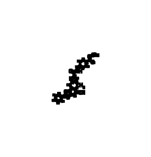 Cc1cc(C(=O)NCC2CCN(C(=O)OC(C)(C)C)CC2)nn1Cc1cc(C#N)cc2cc(-c3ccccc3)oc12